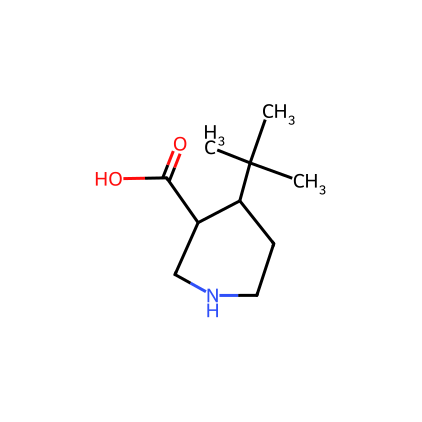 CC(C)(C)C1CCNCC1C(=O)O